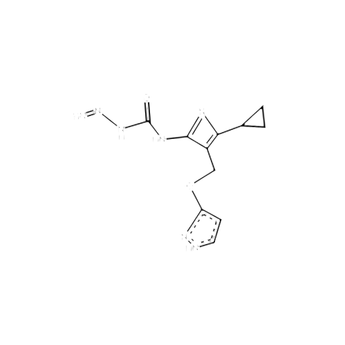 N=NNC(=O)NC1=NC(C2CC2)=C1COc1cc[nH]n1